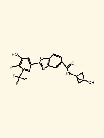 O=C(NC12CC(O)(C1)C2)c1ccc2oc(-c3cc(O)c(F)c(C(F)(F)F)c3)nc2c1